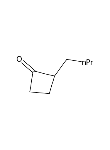 CCCCC1CCC1=O